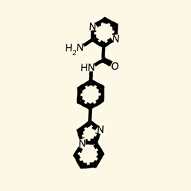 Nc1nccnc1C(=O)Nc1ccc(-c2cn3ccccc3n2)cc1